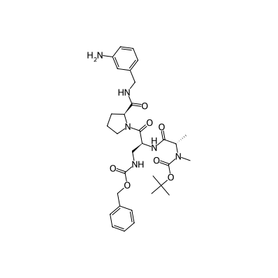 C[C@@H](C(=O)N[C@@H](CNC(=O)OCc1ccccc1)C(=O)N1CCC[C@H]1C(=O)NCc1cccc(N)c1)N(C)C(=O)OC(C)(C)C